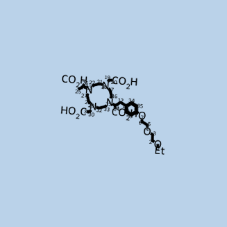 CCOCCOCCOc1ccc(CC(C(=O)O)N2CCN(CC(=O)O)CCN(C(C)C(=O)O)CCN(CC(=O)O)CC2)cc1